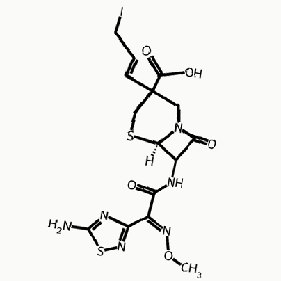 CON=C(C(=O)NC1C(=O)N2CC(C=CCI)(C(=O)O)CS[C@H]12)c1nsc(N)n1